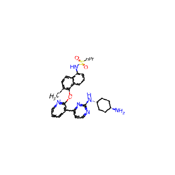 CCCS(=O)(=O)Nc1cccc2c(Oc3ncccc3-c3ccnc(N[C@H]4CC[C@H](N)CC4)n3)c(C)ccc12